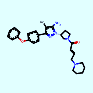 CC(=O)c1c(-c2ccc(Oc3ccccc3)cc2)nn([C@@H]2CCN(C(=O)/C=C/CN3CCCCC3)C2)c1N